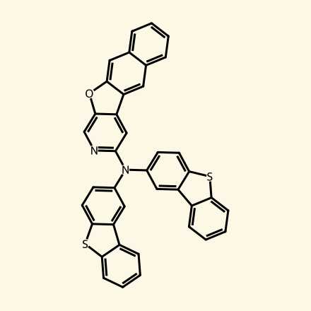 c1ccc2cc3c(cc2c1)oc1cnc(N(c2ccc4sc5ccccc5c4c2)c2ccc4sc5ccccc5c4c2)cc13